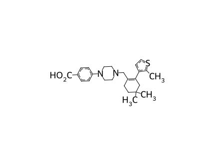 Cc1sccc1C1=C(CN2CCN(c3ccc(C(=O)O)cc3)CC2)CCC(C)(C)C1